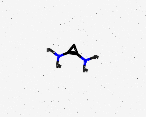 CC(C)N(C1=C(N(C(C)C)C(C)C)C1)C(C)C